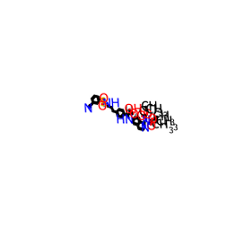 CC(C)(C)OC(=O)N(C(=O)OC(C)(C)C)c1nccc2cc(NC(C(=O)O)c3ccc(CCCNS(=O)(=O)c4cccc(C#N)c4)cc3)ccc12